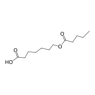 CCCCC(=O)OCCCCCCC(=O)O